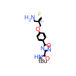 CC(C)(C)NC(=O)c1noc(-c2ccc(OC/C(=C/F)CN)cc2)n1